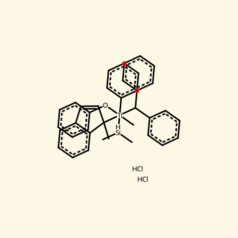 C[SiH](C)[Ti]([CH3])([O]c1ccccc1)([c]1ccccc1)([CH](c1ccccc1)c1ccccc1)[C]1(C)C=Cc2ccccc21.Cl.Cl